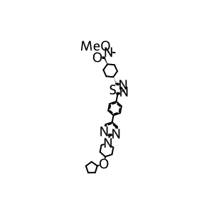 CON(C)C(=O)[C@H]1CC[C@H](c2nnc(-c3ccc(-c4cnc(N5CCC(OC6CCCC6)CC5)nc4)cc3)s2)CC1